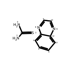 NC(N)=S.c1ccc2nccnc2c1